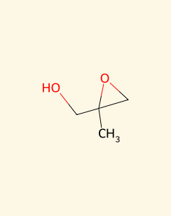 CC1(CO)CO1